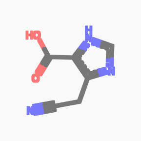 N#CCc1nc[nH]c1C(=O)O